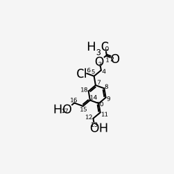 CC(=O)OCC(Cl)c1ccc(=CCO)c(=CCO)c1